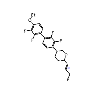 CCOc1ccc(-c2ccc(C3CCC(/C=C/CF)OC3)c(F)c2F)c(F)c1F